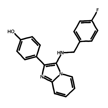 Oc1ccc(-c2nc3ccccn3c2NCc2ccc(F)cc2)cc1